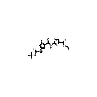 CCOC(=O)c1csc(NC(=O)c2cc(NC(=O)OC(C)(C)C)cn2C)n1